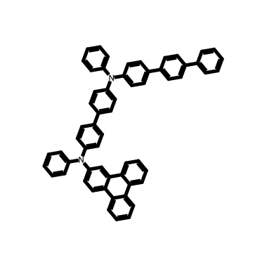 c1ccc(-c2ccc(-c3ccc(N(c4ccccc4)c4ccc(-c5ccc(N(c6ccccc6)c6ccc7c8ccccc8c8ccccc8c7c6)cc5)cc4)cc3)cc2)cc1